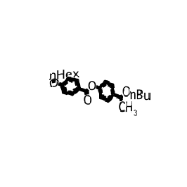 CCCCCCOc1ccc(C(=O)Oc2ccc(C(C)OCCCC)cc2)cc1